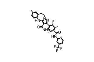 Cc1ccc2c(c1)CCn1nc(-c3ccc(C(=O)Nc4cc(C(F)(F)F)ccn4)c(C)c3F)c(C(N)=O)c1N2